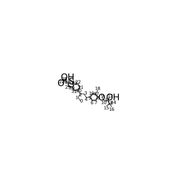 CCC(CCc1ccc(OCC(O)C(C)(C)C)c(C)c1)c1ccc2sc(C(=O)O)cc2c1